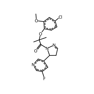 COc1cc(Cl)ccc1OC(C)(C)C(=O)N1N=CCC1c1cncc(F)c1